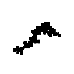 CC(C(=O)OCCNC(=O)CCNC(=O)C(O)C(C)(C)CSP(=O)(O)SP(=O)(O)OC[C@H]1O[C@@H](n2cnc3c(N)ncnc32)[C@H](O)[C@@H]1OP(=O)(O)O)[N+](=O)[O-]